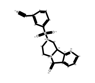 N#Cc1cccc(S(=O)(=O)N2CCN3C(=O)c4cccnc4C3C2)c1